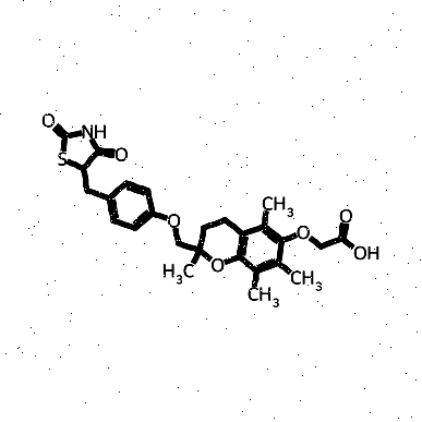 Cc1c(C)c2c(c(C)c1OCC(=O)O)CCC(C)(COc1ccc(CC3SC(=O)NC3=O)cc1)O2